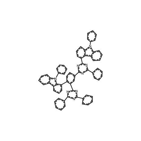 c1ccc(-c2nc(-c3ccccc3)nc(-c3cc(-c4nc(-c5ccccc5)nc(-c5cccc6c5c5ccccc5n6-c5ccccc5)n4)ccc3-c3cccc4c5ccccc5n(-c5ccccc5)c34)n2)cc1